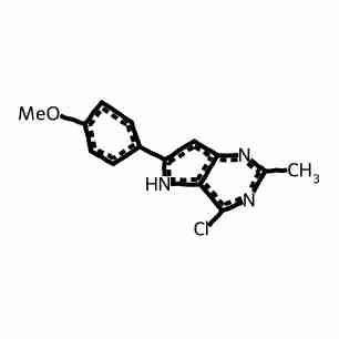 COc1ccc(-c2cc3nc(C)nc(Cl)c3[nH]2)cc1